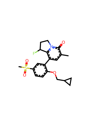 Cc1cc(-c2cc(S(C)(=O)=O)ccc2OCC2CC2)c2n(c1=O)CCC2F